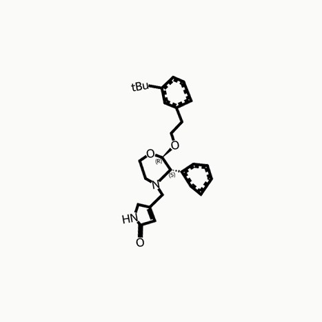 CC(C)(C)c1cccc(CCO[C@@H]2OCCN(CC3=CC(=O)NC3)[C@H]2c2ccccc2)c1